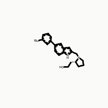 CC(C)(C)c1cccc(-c2ccc3[nH]c(CN4CCC[C@@H]4CCO)cc3c2)c1